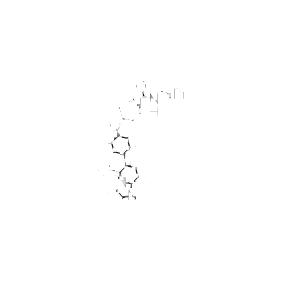 CC(C)CNC(=O)N1CCC(Oc2ccc(-c3ccc4nccn4c3Cl)cc2)CC1